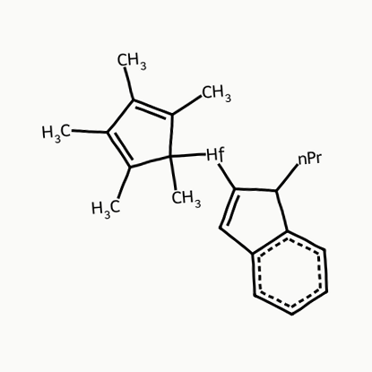 CCCC1[C]([Hf][C]2(C)C(C)=C(C)C(C)=C2C)=Cc2ccccc21